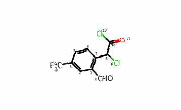 O=Cc1cc(C(F)(F)F)ccc1C(Cl)C(=O)Cl